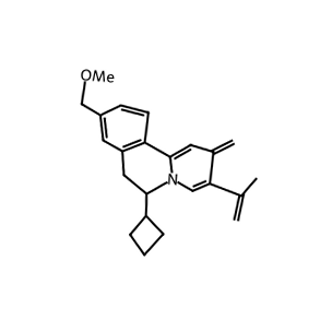 C=C(C)C1=CN2C(=CC1=C)c1ccc(COC)cc1CC2C1CCC1